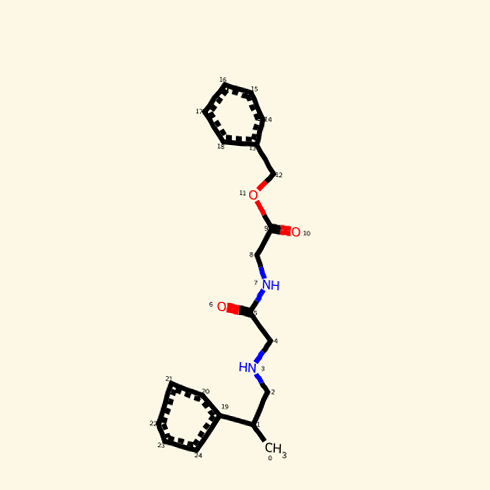 CC(CNCC(=O)NCC(=O)OCc1ccccc1)c1ccccc1